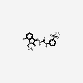 CCN1C(=O)C(=NNC(=S)Nc2cccc(S(N)(=O)=O)c2)c2cccc(F)c21